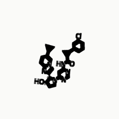 O=C(Nc1cc(N2CC[C@@H](O)[C@@H]2c2cn3cc(C4CC4)ccc3n2)ncn1)C1CC1c1cccc(Cl)c1